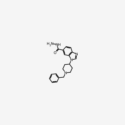 NNC(=O)c1ccc2ncn(C3CCN(Cc4ccccc4)CC3)c2c1